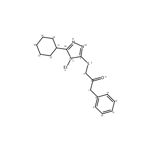 CCn1c(SCC(=O)Cc2ccccc2)nnc1C1CCCCC1